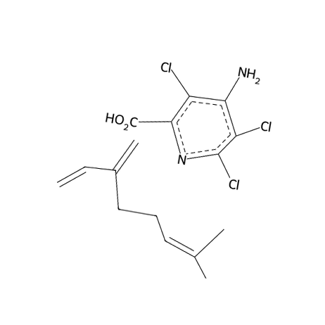 C=CC(=C)CCC=C(C)C.Nc1c(Cl)c(Cl)nc(C(=O)O)c1Cl